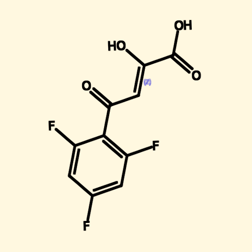 O=C(O)/C(O)=C/C(=O)c1c(F)cc(F)cc1F